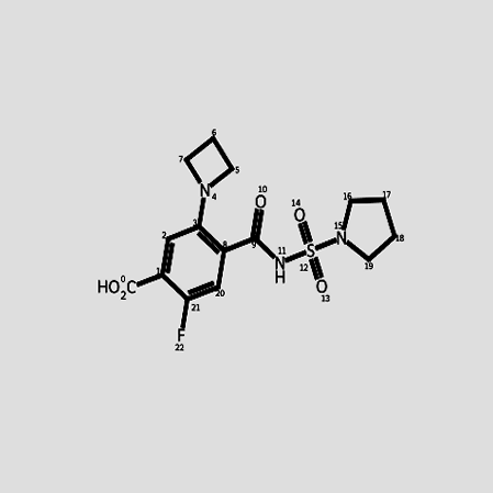 O=C(O)c1cc(N2CCC2)c(C(=O)NS(=O)(=O)N2CCCC2)cc1F